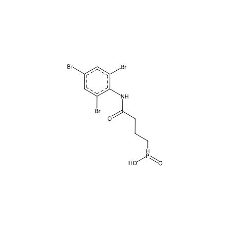 O=C(CCC[PH](=O)O)Nc1c(Br)cc(Br)cc1Br